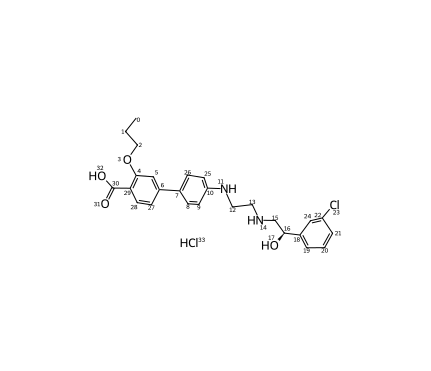 CCCOc1cc(-c2ccc(NCCNC[C@H](O)c3cccc(Cl)c3)cc2)ccc1C(=O)O.Cl